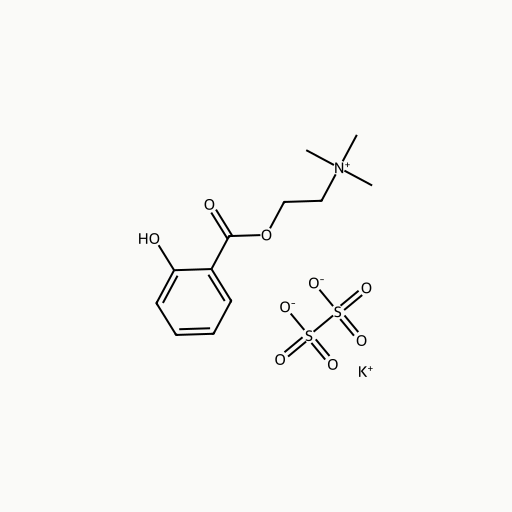 C[N+](C)(C)CCOC(=O)c1ccccc1O.O=S(=O)([O-])S(=O)(=O)[O-].[K+]